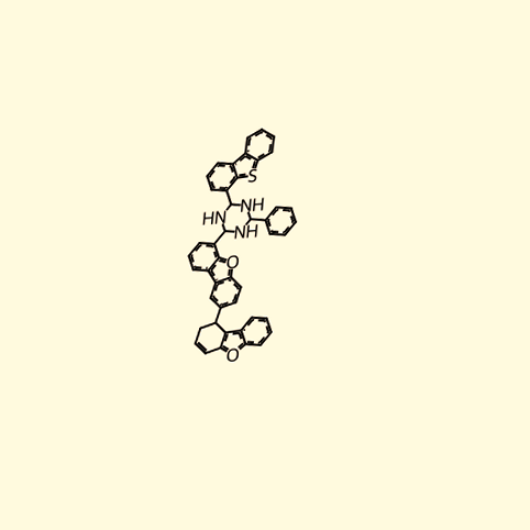 C1=Cc2oc3ccccc3c2C(c2ccc3oc4c(C5NC(c6ccccc6)NC(c6cccc7c6sc6ccccc67)N5)cccc4c3c2)C1